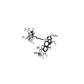 C=C[C@]12CCc3cc(OC)ccc3[C@H]1[C@@H](CCCCC[C@@H](O[Si](C)(C)C)C(F)(F)C(F)(F)C(F)(F)F)C[C@]1(C)[C@@H](O[Si](C)(C)C(C)(C)C)CC[C@H]12